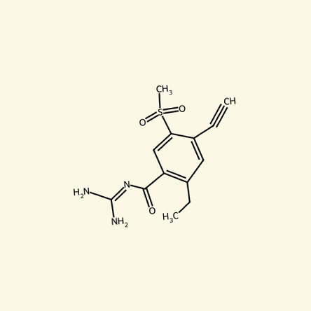 C#Cc1cc(CC)c(C(=O)N=C(N)N)cc1S(C)(=O)=O